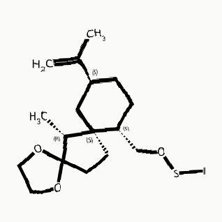 C=C(C)[C@H]1CC[C@H](COSI)[C@]2(CCC3(OCCO3)[C@@H]2C)C1